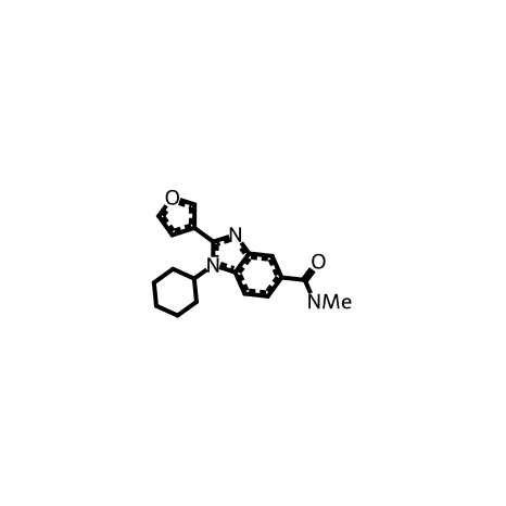 CNC(=O)c1ccc2c(c1)nc(-c1ccoc1)n2C1CCCCC1